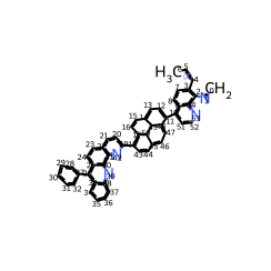 C=Nc1c(/C=C\C)ccc2c(C3=CC=C4C=CC5=C(c6ccc7ccc8c(-c9ccccc9)c9ccccc9nc8c7n6)C=CC6=CC=C3C4C65)ccnc12